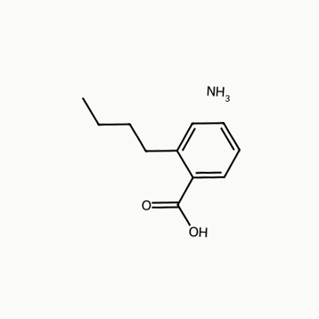 CCCCc1ccccc1C(=O)O.N